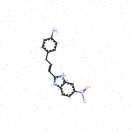 Nc1ccc(CC=Cc2nc3ccc([N+](=O)[O-])cc3[nH]2)cc1